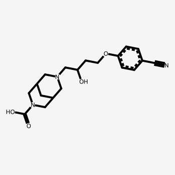 N#Cc1ccc(OCCC(O)CN2CC3CC(C2)CN(C(=O)O)C3)cc1